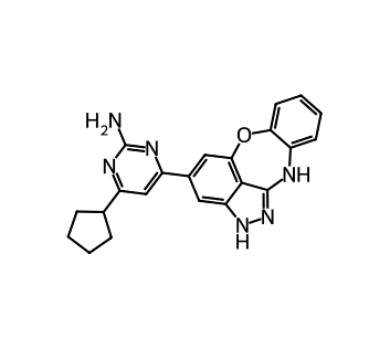 Nc1nc(-c2cc3c4c(n[nH]c4c2)Nc2ccccc2O3)cc(C2CCCC2)n1